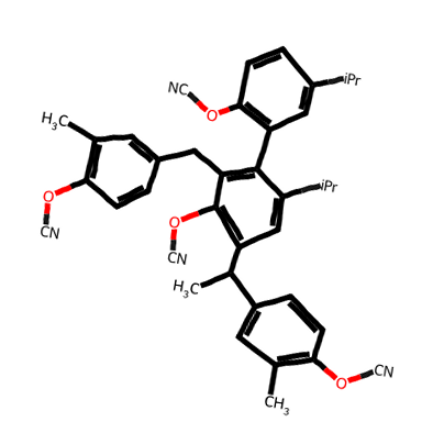 Cc1cc(Cc2c(OC#N)c(C(C)c3ccc(OC#N)c(C)c3)cc(C(C)C)c2-c2cc(C(C)C)ccc2OC#N)ccc1OC#N